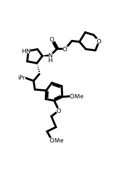 COCCCOc1cc(CC(C[C@@H]2CNC[C@H]2NC(=O)OCC2CCOCC2)C(C)C)ccc1OC